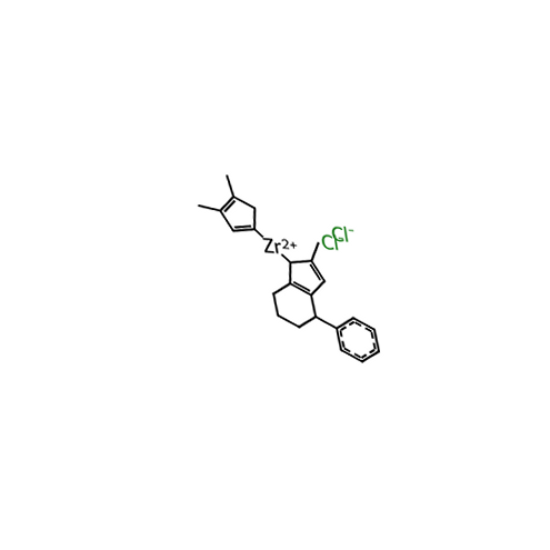 CC1=CC2=C(CCCC2c2ccccc2)[CH]1[Zr+2][C]1=CC(C)=C(C)C1.[Cl-].[Cl-]